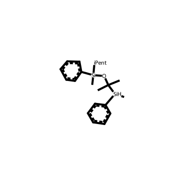 CCCC(C)[Si](C)(OC(C)(C)[SiH](C)c1ccccc1)c1ccccc1